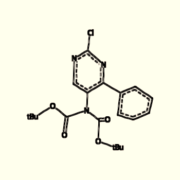 CC(C)(C)OC(=O)N(C(=O)OC(C)(C)C)c1cnc(Cl)nc1-c1ccccc1